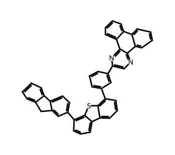 c1cc(-c2cnc3c4ccccc4c4ccccc4c3n2)cc(-c2cccc3c2sc2c(-c4ccc5c(c4)Cc4ccccc4-5)cccc23)c1